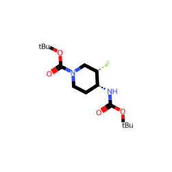 CC(C)(C)OC(=O)N[C@@H]1CCN(C(=O)OC(C)(C)C)C[C@@H]1F